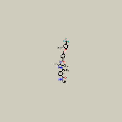 CNC(=O)c1cccc(C(C)n2nc(C)c(NC(=O)c3ccc(COc4ccc(C(F)(F)F)cc4C)cc3)c2C)c1